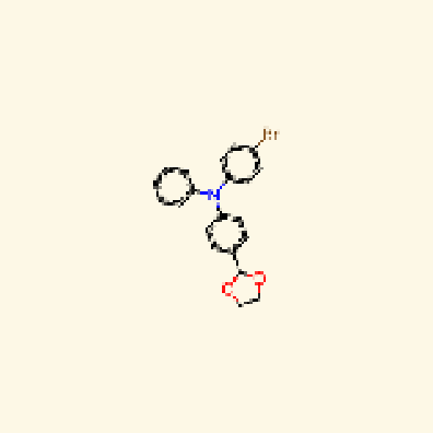 Brc1ccc(N(c2ccccc2)c2ccc(C3OCCO3)cc2)cc1